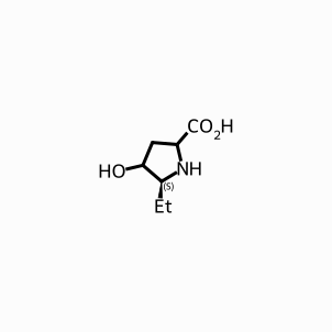 CC[C@@H]1NC(C(=O)O)CC1O